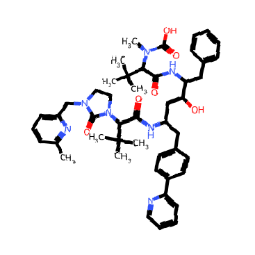 Cc1cccc(CN2CCN(C(C(=O)NC(Cc3ccc(-c4ccccn4)cc3)CC(O)C(Cc3ccccc3)NC(=O)C(N(C)C(=O)O)C(C)(C)C)C(C)(C)C)C2=O)n1